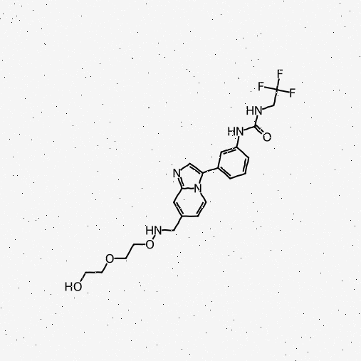 O=C(NCC(F)(F)F)Nc1cccc(-c2cnc3cc(CNOCCOCCO)ccn23)c1